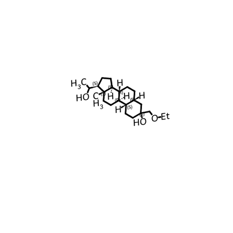 CCOC[C@]1(O)CC[C@H]2[C@H](CC[C@@H]3[C@@H]2CC[C@]2(C)[C@@H](C(C)O)CC[C@@H]32)C1